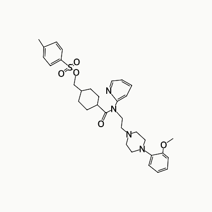 COc1ccccc1N1CCN(CCN(C(=O)C2CCC(COS(=O)(=O)c3ccc(C)cc3)CC2)c2ccccn2)CC1